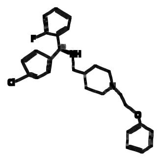 Fc1ccccc1[C@@H](NCC1CCN(CCOc2ccccc2)CC1)c1ccc(Cl)cc1